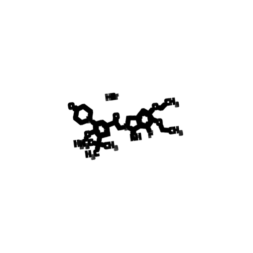 Br.CCOc1cc2c(c(F)c1OCC)C(=N)N(CC(=O)c1cc(N3CCC(=O)CC3)c(OC)c(C(C)(C)C)c1)C2